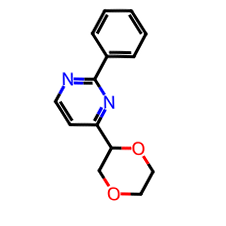 c1ccc(-c2nccc(C3COCCO3)n2)cc1